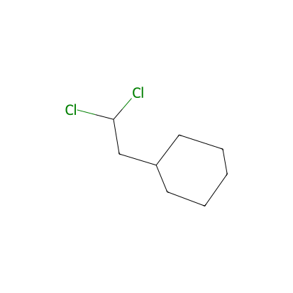 ClC(Cl)CC1CCCCC1